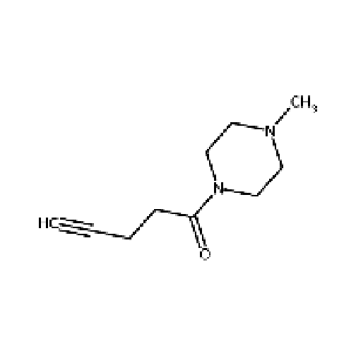 C#CCCC(=O)N1CCN(C)CC1